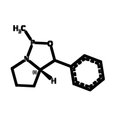 CP1OC(c2ccccc2)[C@@H]2CCCN21